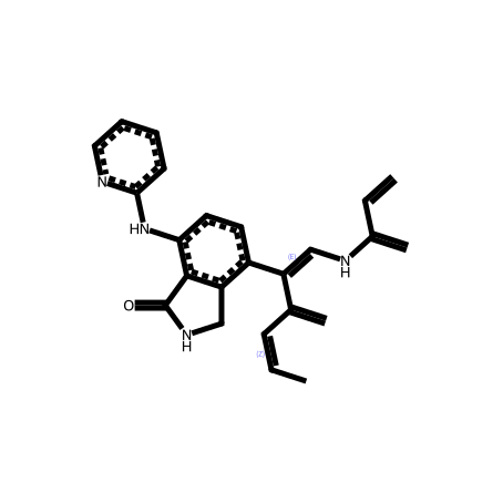 C=CC(=C)N/C=C(\C(=C)/C=C\C)c1ccc(Nc2ccccn2)c2c1CNC2=O